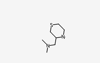 CN(C)CC1CSCC[N]1